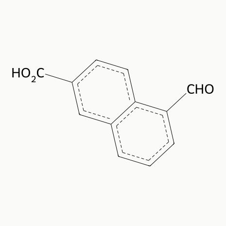 O=Cc1cccc2cc(C(=O)O)ccc12